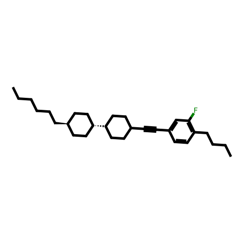 CCCCCC[C@H]1CC[C@H](C2CCC(C#Cc3ccc(CCCC)c(F)c3)CC2)CC1